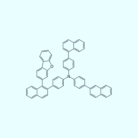 c1ccc2cc(-c3ccc(N(c4ccc(-c5ccc6ccccc6c5-c5ccc6c(c5)oc5ccccc56)cc4)c4ccc(-c5cccc6ccccc56)cc4)cc3)ccc2c1